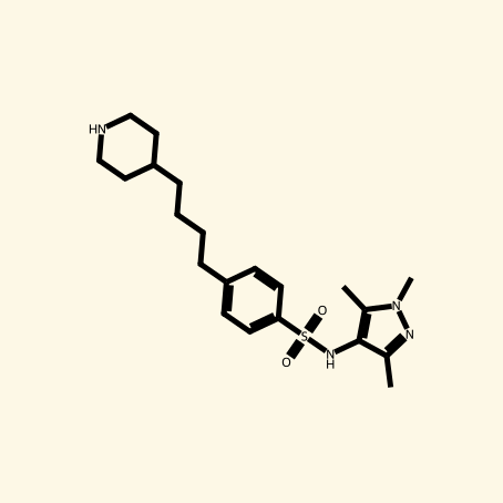 Cc1nn(C)c(C)c1NS(=O)(=O)c1ccc(CCCCC2CCNCC2)cc1